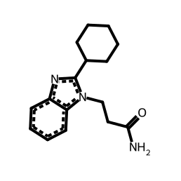 NC(=O)CCn1c(C2CCCCC2)nc2ccccc21